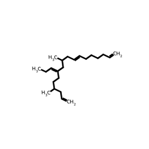 C=CCCCCC=CCC(C)CC(=CCC)CCC(C)CC=C